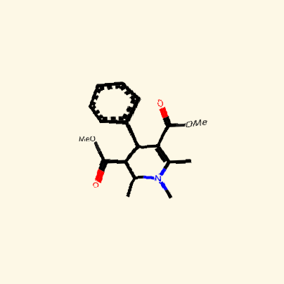 COC(=O)C1=C(C)N(C)C(C)C(C(=O)OC)C1c1ccccc1